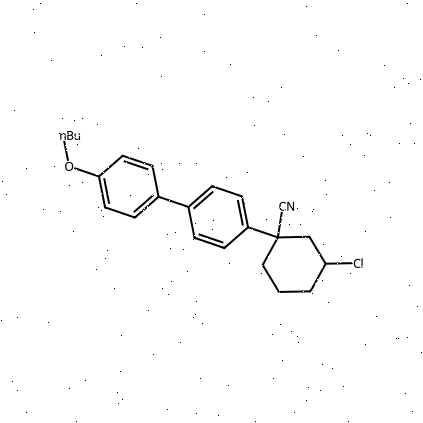 CCCCOc1ccc(-c2ccc(C3(C#N)CCCC(Cl)C3)cc2)cc1